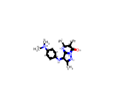 CC1=Nn2c(nc(C(C)C)c(C(C)C)c2=O)C1=Nc1ccc(N(C)C)cc1